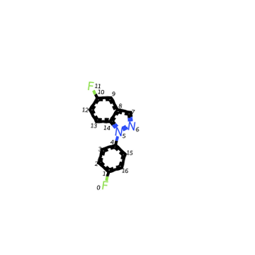 Fc1ccc(-n2ncc3cc(F)ccc32)cc1